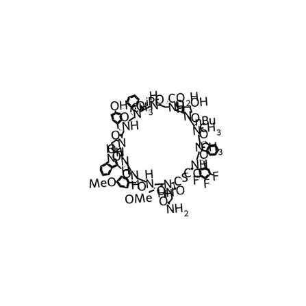 CCCC[C@H]1C(=O)N2C[C@H](O)C[C@@H]2C(=O)N[C@@H](CC(=O)O)C(=O)N[C@@H](C(C)C)C(=O)N(C)[C@@H](Cc2ccccc2)C(=O)N[C@@H](Cc2ccc(O)cc2)C(=O)N2CCOC[C@@H]2C(=O)N[C@@H](Cc2c[nH]c3ccccc23)C(=O)N[C@@H](Cc2ccc(OC)cc2)C(=O)N[C@@H](CCOC)C(=O)N[C@H](C(=O)NCC(N)=O)CSCC(=O)N[C@@H](Cc2cc(F)c(F)c(F)c2)C(=O)N(C)[C@@H](Cc2ccccc2)C(=O)N1C